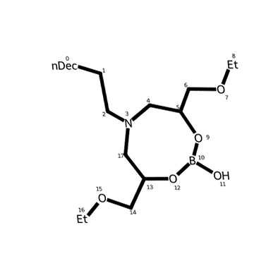 CCCCCCCCCCCCN1CC(COCC)OB(O)OC(COCC)C1